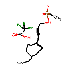 CNCC1CCC(C#CCOS(C)(=O)=O)CC1.O=C(O)C(F)(F)F